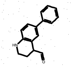 O=CC1CCNc2ccc(-c3ccccc3)cc21